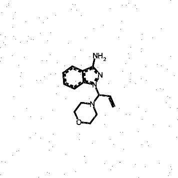 C=CC(N1CCOCC1)n1nc(N)c2ccccc21